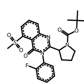 CC(C)(C)OC(=O)N1CCCC1c1nc2cccc(S(C)(=O)=O)c2c(=O)n1-c1ccccc1F